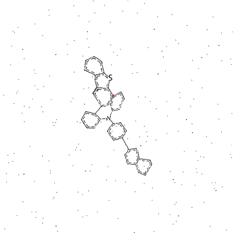 c1ccc(N(c2ccc(-c3ccc4ccccc4c3)cc2)c2ccccc2-c2ccc3sc4ccccc4c3c2)cc1